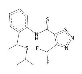 CC(C)SC(C)c1ccccc1NC(=S)c1snnc1C(F)F